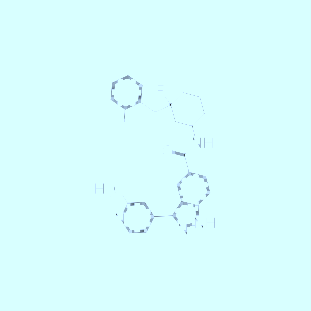 Cc1cc(-c2n[nH]c3ccc(C(=O)NC4CCCC(F)(Cc5ccccc5F)C4)cc23)ccn1